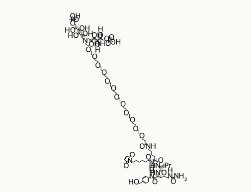 CC(C)[C@H](NC(=O)[C@H](CCCCNC(=O)CCOCCOCCOCCOCCOCCOCCOCCOCCOCCOCCOCCOCCN(C[C@H](O)[C@@H](O)[C@H](O)[C@H](O)COP(C)(=O)O)C[C@H](O)[C@@H](O)[C@H](O)[C@H](O)COP(=O)(O)O)NC(=O)CCCCCN1C(=O)C=CC1=O)C(=O)N[C@@H](CCCNC(N)=O)C(=O)Nc1ccc(CO)cc1